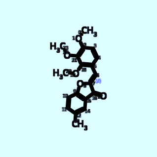 COc1ccc(/C=C2\Oc3ccc(C)cc3C2=O)c(OC)c1OC